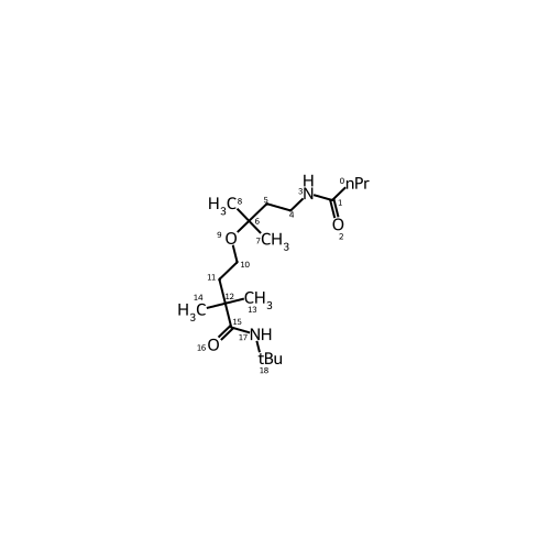 CCCC(=O)NCCC(C)(C)OCCC(C)(C)C(=O)NC(C)(C)C